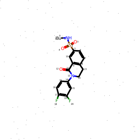 CCC(C)NS(=O)(=O)c1ccc2c(c1)C(=O)N(c1ccc(F)c(F)c1)CC2